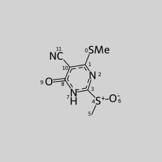 CSc1nc([S+](C)[O-])[nH]c(=O)c1C#N